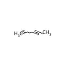 CCCSSCCCCCSC